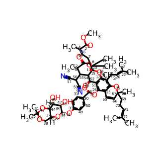 COC(=O)/C(C)=C\CC12OC(C)(C)[C@@H](C)C13Oc1c(CC=C(C)C)c4c(c(OC(=O)c5ccc(O[C@@H]6O[C@@H]7COC(C)(C)O[C@H]7[C@H](O)[C@H]6O)cc5)c1C(=O)C3C(C(C#N)C#N)[C@H](C)C2=O)C=CC(C)(CCC=C(C)C)O4